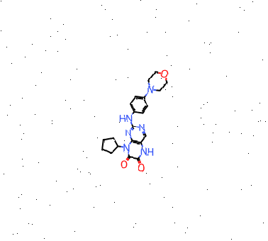 O=c1[nH]c2cnc(Nc3ccc(N4CCOCC4)cc3)nc2n(C2CCCC2)c1=O